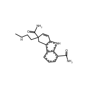 CNCCC1(C(N)=O)C=Cc2[nH]c3c(C(N)=O)cccc3c2C1